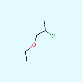 [CH2]COCC(C)Cl